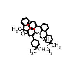 CCN(c1cc2c(cc1C1CCC(C)(C)CC1)C(C)(C)c1ccccc1-2)c1c(-c2ccccc2)cccc1C1CCC(C)(C)CC1